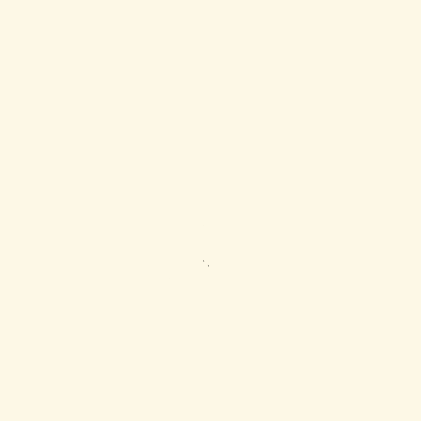 CCC1CCC(=NOC)CC1